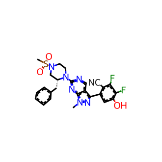 Cn1nc(-c2cc(O)c(F)c(F)c2C#N)c2cnc(N3CCN(S(C)(=O)=O)C[C@H]3Cc3ccccc3)nc21